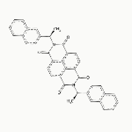 C[C@H](c1ccc2ccccc2c1)N1C(=O)c2ccc3c4c(ccc(c24)C1=O)C(=O)N([C@H](C)c1ccc2ccccc2c1)C3=O